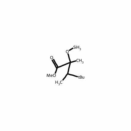 COC(=O)C(C)(O[SiH3])C(C)C(C)(C)C